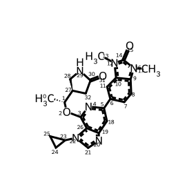 C[C@@H](Oc1nc(-c2ccc3c(c2)n(C)c(=O)n3C)cc2ncn(C3CC3)c12)[C@H]1CNC(=O)C1